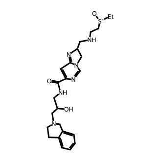 CC[S+]([O-])CCNCC1CN2C=NC(C(=O)NCC(O)CN3CCc4ccccc4C3)=CC2=N1